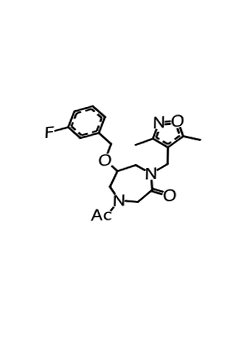 CC(=O)N1CC(=O)N(Cc2c(C)noc2C)CC(OCc2cccc(F)c2)C1